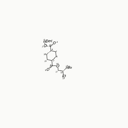 CCCCCCCCCCOC(=O)C1CCC(C(=O)OCC(CC)CCCC)CC1